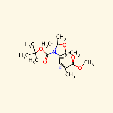 COC(=O)/C(C)=C\[C@@H]1[C@@H](C)OC(C)(C)N1C(=O)OC(C)(C)C